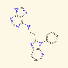 c1ccc(-n2c(CCNc3ncnc4[nH]cnc34)nc3cccnc32)cc1